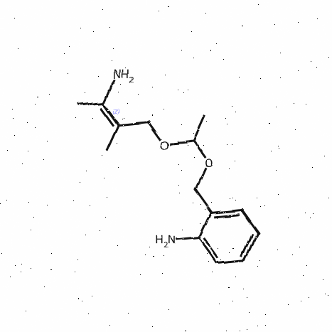 C/C(N)=C(\C)COC(C)OCc1ccccc1N